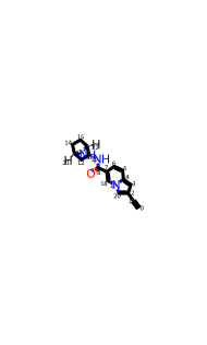 C#Cc1cc2ccc(C(=O)N[C@@H]3C[C@H]4CC[C@@H]3N4)cn2c1